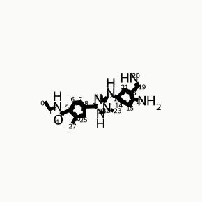 CCNC(=O)c1ccc(C2N=C(Nc3ccc(N)c(C=N)c3)N(C)N2)cc1C